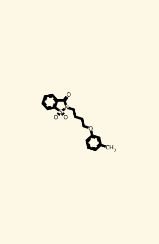 Cc1cccc(OCCCCN2C(=O)c3ccccc3S2(=O)=O)c1